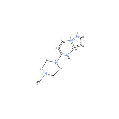 CC(C)N1CCN(c2ccn3nccc3n2)CC1